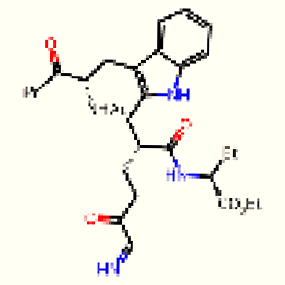 CCOC(=O)[C@H](CC)NC(=O)[C@H](CCC(=O)C=N)Cc1[nH]c2ccccc2c1C[C@H](NC(C)=O)C(=O)C(C)C